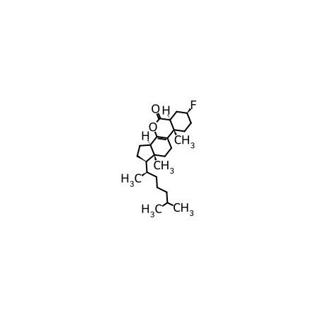 CC(C)CCC[C@@H](C)[C@H]1CC[C@H]2C3=C(CC[C@]12C)[C@@]1(C)CC[C@H](F)C[C@@H]1C(=O)O3